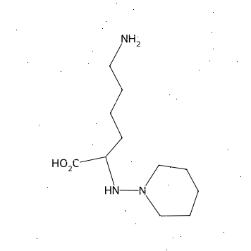 NCCCCC(NN1CCCCC1)C(=O)O